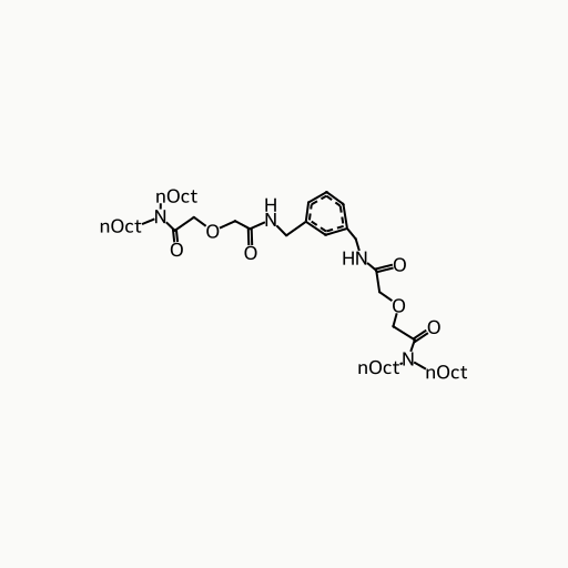 CCCCCCCCN(CCCCCCCC)C(=O)COCC(=O)NCc1cccc(CNC(=O)COCC(=O)N(CCCCCCCC)CCCCCCCC)c1